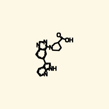 O=C(O)C1CCCN(c2ncnc3ccc(-c4c[nH]c5ncccc45)cc23)C1